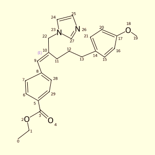 CCOC(=O)c1ccc(/C=C(\CCCc2ccc(OC)cc2)Cn2ccnc2)cc1